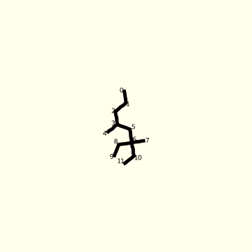 CCCC(C)CC(C)(CC)CC